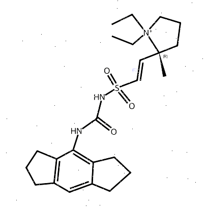 CC[N+]1(CC)CCC[C@]1(C)/C=C/S(=O)(=O)NC(=O)Nc1c2c(cc3c1CCC3)CCC2